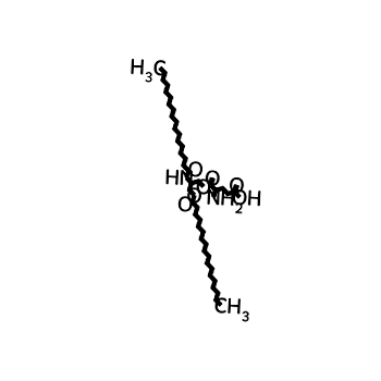 CCCCCCCCCCCCCCCCCC(=O)NC(COC(=O)CCCCCCCCCCCCCCCCC)COC(=O)C(N)CCC(=O)O